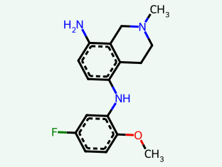 COc1ccc(F)cc1Nc1ccc(N)c2c1CCN(C)C2